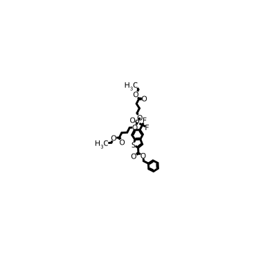 CCOC(=O)CCCOP(=O)(OCCCC(=O)OCC)C(F)(F)c1ccc2sc(C(=O)OCc3ccccc3)cc2c1